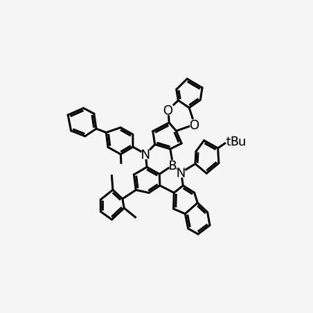 Cc1cc(-c2ccccc2)ccc1N1c2cc3c(cc2B2c4c(cc(-c5c(C)cccc5C)cc41)-c1cc4ccccc4cc1N2c1ccc(C(C)(C)C)cc1)Oc1ccccc1O3